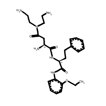 CCOc1ccccc1NC(=O)[C@H](CCc1ccccc1)NC(=O)[C@@H](N)CC(=O)N(CCN)CCN